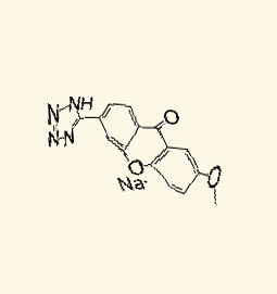 COc1ccc2oc3cc(-c4nnn[nH]4)ccc3c(=O)c2c1.[Na]